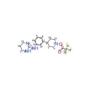 O=C(ON1CCC(c2cccc(NC3=NCCCN3)c2)CC1)C(F)(F)F